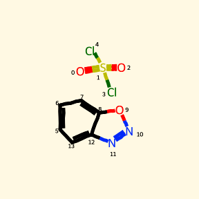 O=S(=O)(Cl)Cl.c1ccc2onnc2c1